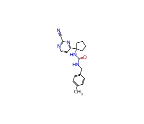 Cc1ccc(CNC(=O)NC2(c3ccnc(C#N)n3)CCCC2)cc1